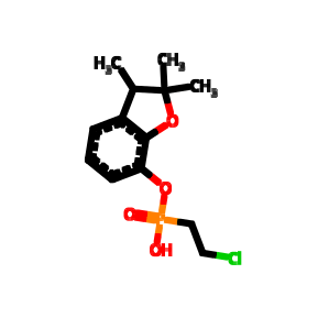 CC1c2cccc(OP(=O)(O)CCCl)c2OC1(C)C